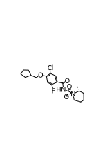 C[C@@H]1CCCCN1S(=O)(=O)NC(=O)c1cc(Cl)c(OCC2CCCC2)cc1F